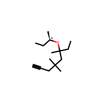 C#CCC(C)(C)CC(C)(CC)O[C@H](C)CC